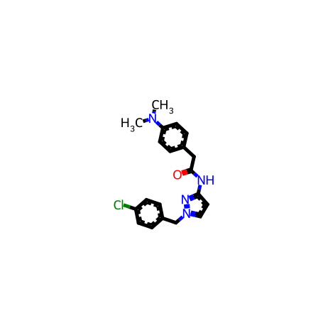 CN(C)c1ccc(CC(=O)Nc2ccn(Cc3ccc(Cl)cc3)n2)cc1